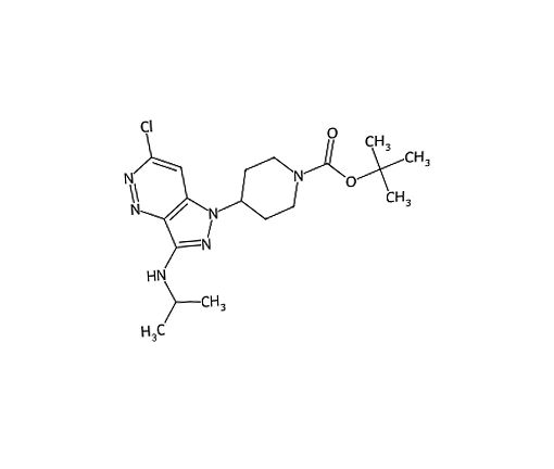 CC(C)Nc1nn(C2CCN(C(=O)OC(C)(C)C)CC2)c2cc(Cl)nnc12